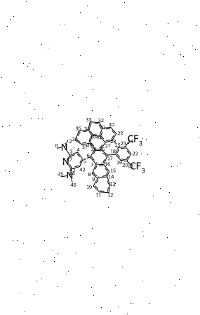 CN(C)c1cc(-c2c3cc4ccccc4cc3c(-c3cc(C(F)(F)F)cc(C(F)(F)F)c3)c3c4cccc5ccc6cccc(c23)c6c54)cc(N(C)C)n1